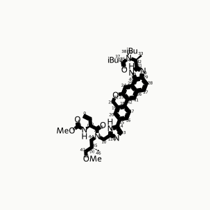 C=C[C@H](NC(=O)OC)C(=O)N(Cc1ncc(-c2ccc3c(c2)COc2cc4c(ccc5nc([C@H](C)N(C(=O)[C@@H](C)CC)[C@@H](C)CC)[nH]c54)cc2-3)[nH]1)C[C@H](C)COC